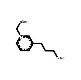 CCCCCCCCCCCCCc1ccc[n+](CCCCCCCCCCC)c1